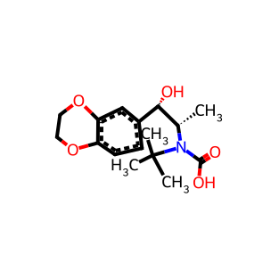 C[C@@H]([C@@H](O)c1ccc2c(c1)OCCO2)N(C(=O)O)C(C)(C)C